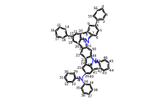 c1ccc(-c2ccc3c(c2)c2cc(-c4ccccc4)cc4c5cc6c7cc(N(c8ccccc8)c8ccccc8)cc8c9ccccc9n(c6cc5n3c24)c87)cc1